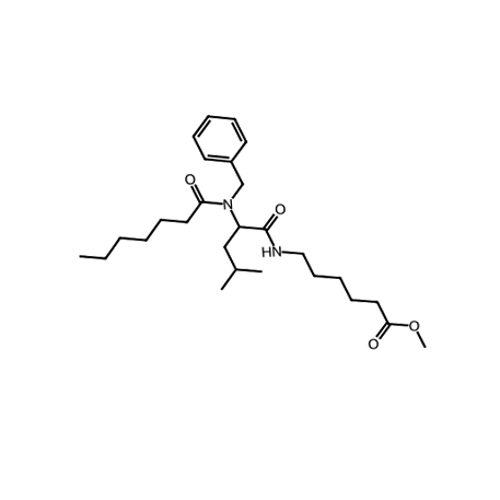 CCCCCCC(=O)N(Cc1ccccc1)C(CC(C)C)C(=O)NCCCCCC(=O)OC